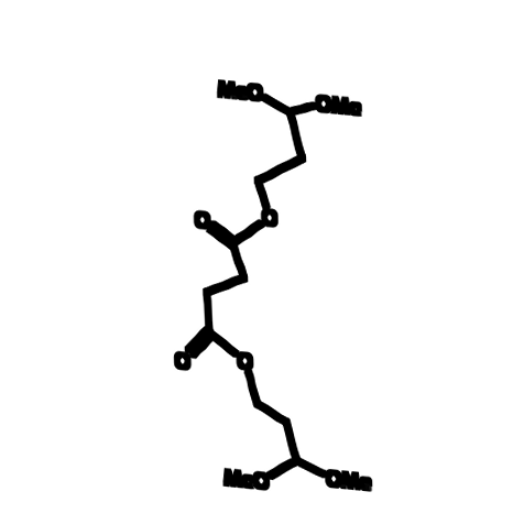 COC(CCOC(=O)CCC(=O)OCCC(OC)OC)OC